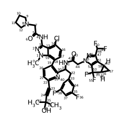 Cn1nc(NC(=O)CN2CCCC2)c2c(Cl)ccc(-c3ccc(C#CC(C)(C)O)nc3C(Cc3cc(F)cc(F)c3)NC(=O)Cn3nc(C(F)F)c4c3C(F)(F)[C@@H]3C[C@H]43)c21